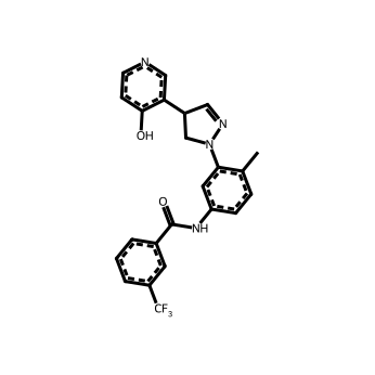 Cc1ccc(NC(=O)c2cccc(C(F)(F)F)c2)cc1N1CC(c2cnccc2O)C=N1